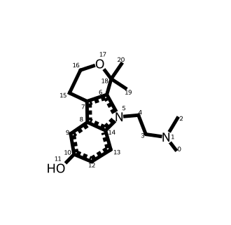 CN(C)CCn1c2c(c3cc(O)ccc31)CCOC2(C)C